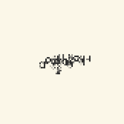 CC1(COc2c(N3CCN(S(=O)(=O)Cc4c(N)ccc5[nH]ncc45)CC3)cnn(-c3cccc(Cl)c3)c2=O)CC1